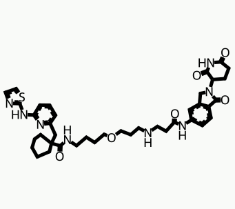 O=C1CCC(N2Cc3cc(NC(=O)CCNCCCOCCCCNC(=O)C4(Cc5cccc(Nc6nccs6)n5)CCCCC4)ccc3C2=O)C(=O)N1